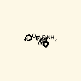 CN1CCC(OC2CN(S(=O)(=O)c3ccccc3C(N)=O)C2)CC1